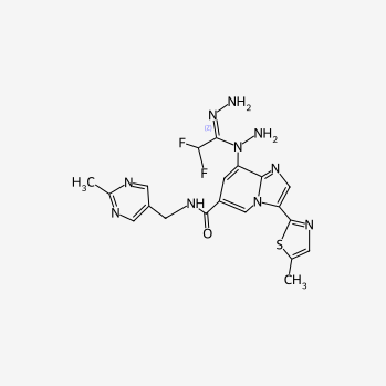 Cc1ncc(CNC(=O)c2cc(N(N)/C(=N\N)C(F)F)c3ncc(-c4ncc(C)s4)n3c2)cn1